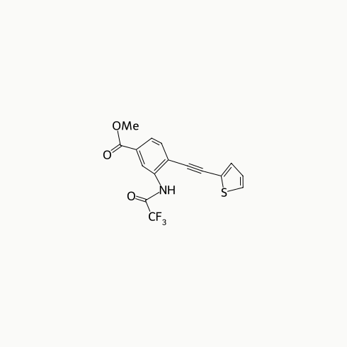 COC(=O)c1ccc(C#Cc2cccs2)c(NC(=O)C(F)(F)F)c1